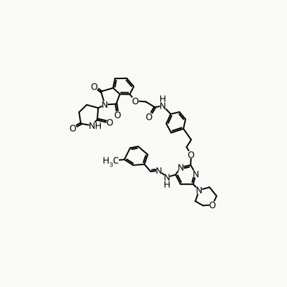 Cc1cccc(/C=N/Nc2cc(N3CCOCC3)nc(OCCc3ccc(NC(=O)COc4cccc5c4C(=O)N(C4CCC(=O)NC4=O)C5=O)cc3)n2)c1